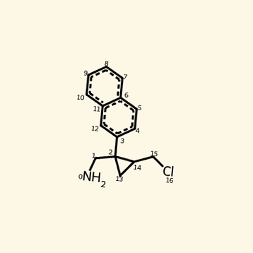 NCC1(c2ccc3ccccc3c2)CC1CCl